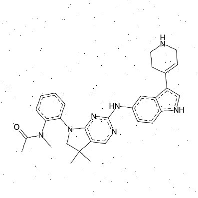 CC(=O)N(C)c1ccccc1N1CC(C)(C)c2cnc(Nc3ccc4[nH]cc(C5=CCNCC5)c4c3)nc21